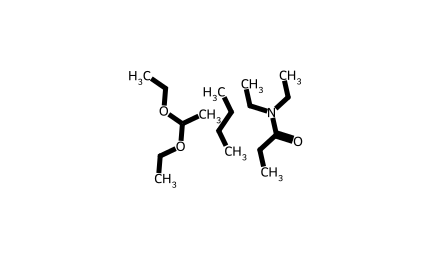 CCC(=O)N(CC)CC.CCCC.CCOC(C)OCC